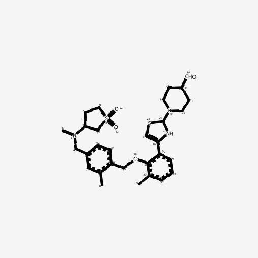 Cc1cc(CN(C)C2CCS(=O)(=O)C2)ccc1COc1c(C)cccc1C1=CSC(N2CCC(C=O)CC2)N1